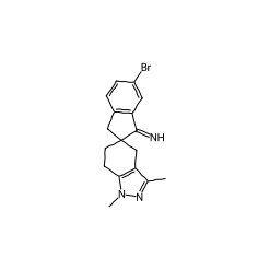 Cc1nn(C)c2c1CC1(CC2)Cc2ccc(Br)cc2C1=N